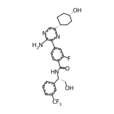 Nc1ncc([C@H]2CC[C@@H](O)CC2)nc1-c1ccc(C(=O)N[C@H](CO)c2cccc(C(F)(F)F)c2)c(F)c1